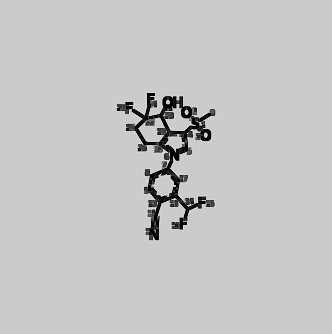 CS(=O)(=O)c1cn(-c2ccc(C#N)c(C(F)F)c2)c2c1C(O)C(F)(F)CC2